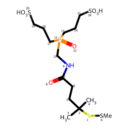 CSSC(C)(C)CCC(=O)NCP(=O)(CCCS(=O)(=O)O)CCCS(=O)(=O)O